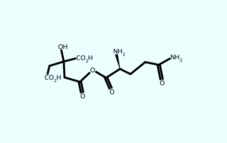 NC(=O)CC[C@H](N)C(=O)OC(=O)CC(O)(CC(=O)O)C(=O)O